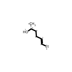 CC/C=C/CC[C@@H](C)O